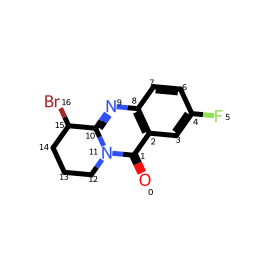 O=c1c2cc(F)ccc2nc2n1CCCC2Br